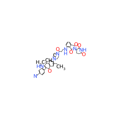 CCc1cc2c(cc1N1CCN(C(=O)CCNc3cccc4c3C(=O)N(C3CCC(=O)NC3=O)C4=O)CC1)C(C)(C)c1[nH]c3cc(C#N)ccc3c1C2=O